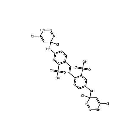 O=S(=O)(O)c1cc(NC2(Cl)C=C(Cl)NN=N2)ccc1/C=C/c1ccc(NC2(Cl)C=C(Cl)NN=N2)cc1S(=O)(=O)O